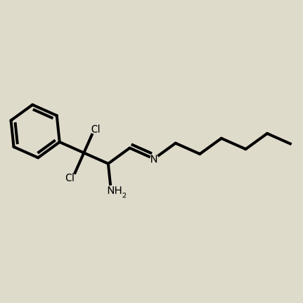 CCCCCCN=CC(N)C(Cl)(Cl)c1ccccc1